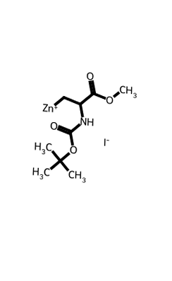 COC(=O)C([CH2][Zn+])NC(=O)OC(C)(C)C.[I-]